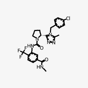 CNC(=O)c1ccc(C(F)(F)F)c(NC(=O)N2CCC[C@@H]2c2nnc(C)n2Cc2ccc(Cl)cc2)c1